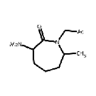 CNC1CCCC(C)N(CC(C)=O)C1=O